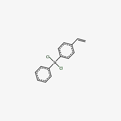 C=Cc1ccc([Si](Cl)(Cl)c2ccccc2)cc1